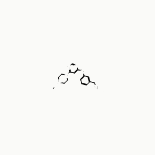 CS(=O)(=O)N1CCN(c2cc(Nc3cccc(CN)c3)ncn2)CC1